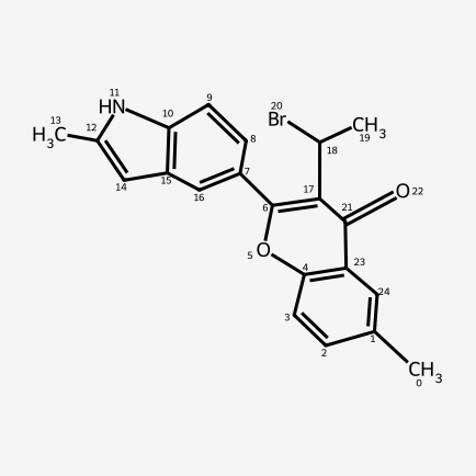 Cc1ccc2oc(-c3ccc4[nH]c(C)cc4c3)c(C(C)Br)c(=O)c2c1